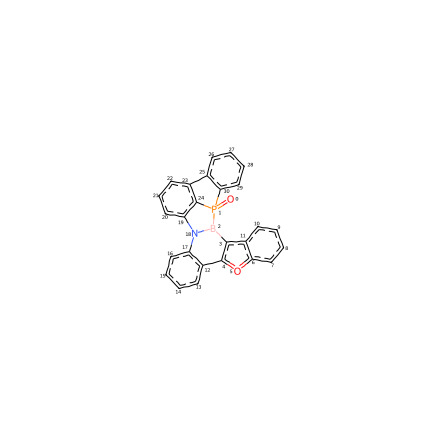 O=P12B3c4c(oc5ccccc45)-c4ccccc4N3c3cccc(c31)-c1ccccc12